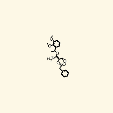 COc1cccc(C(C)O/C(N)=C(\C=O)OS(=O)Cc2ccccc2)c1OC